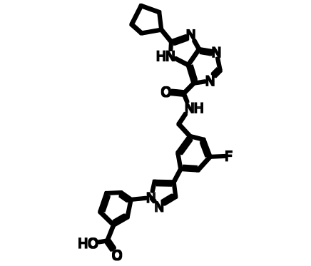 O=C(O)c1cccc(-n2cc(-c3cc(F)cc(CNC(=O)c4ncnc5nc(C6CCCC6)[nH]c45)c3)cn2)c1